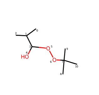 CC(C)C(O)OOC(C)(C)C